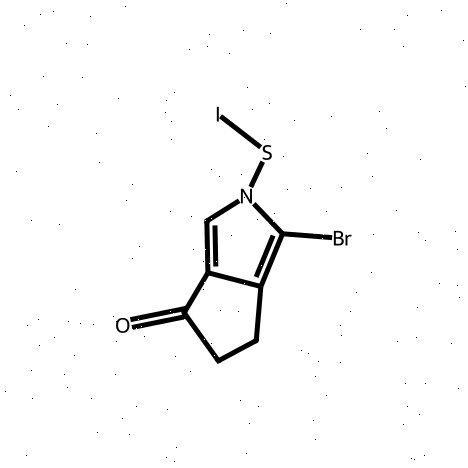 O=C1CCc2c1cn(SI)c2Br